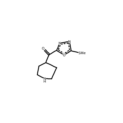 CSc1nnc(C(=O)C2CCNCC2)o1